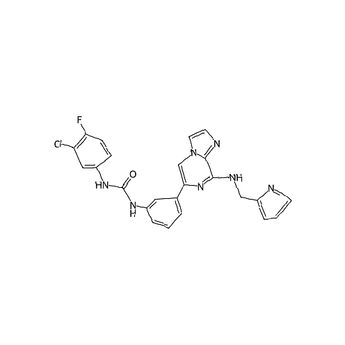 O=C(Nc1cccc(-c2cn3ccnc3c(NCc3ccccn3)n2)c1)Nc1ccc(F)c(Cl)c1